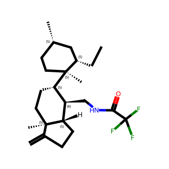 C=C1CC[C@H]2[C@H](CNC(=O)C(F)(F)F)[C@@H]([C@@]3(C)CC[C@H](C)C[C@@H]3CC)CC[C@]12C